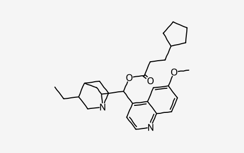 CCC1CN2CCC1CC2C(OC(=O)CCC1CCCC1)c1ccnc2ccc(OC)cc12